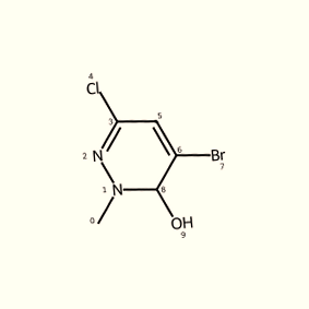 CN1N=C(Cl)C=C(Br)C1O